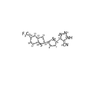 N#Cc1[nH]nnc1-c1ccc(-c2cc3cc(C(F)(F)F)ccc3s2)s1